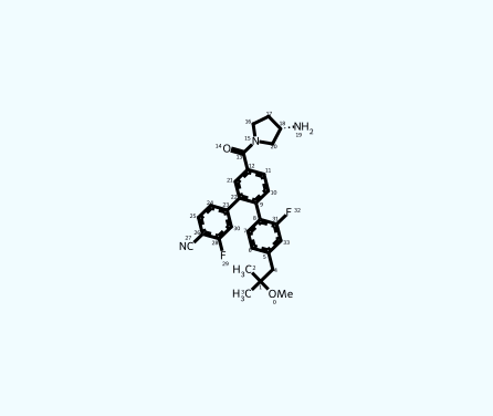 COC(C)(C)Cc1ccc(-c2ccc(C(=O)N3CC[C@H](N)C3)cc2-c2ccc(C#N)c(F)c2)c(F)c1